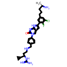 C[C@H](N)CCCc1cc(Cl)c(F)c(-c2cc3cn(-c4ccc(CNCCC(NC(=N)N)C5CC5)cc4)c(=O)nc3[nH]2)c1